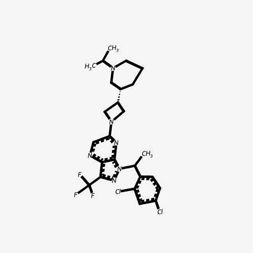 CC(C)N1CCC[C@H](C2CN(c3cnc4c(C(F)(F)F)nn(C(C)c5ccc(Cl)cc5Cl)c4n3)C2)C1